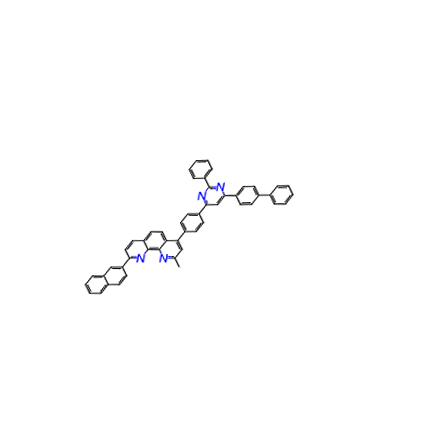 Cc1cc(-c2ccc(-c3cc(-c4ccc(-c5ccccc5)cc4)nc(-c4ccccc4)n3)cc2)c2ccc3ccc(-c4ccc5ccccc5c4)nc3c2n1